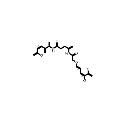 C=C(Cl)/C=C\C(=C)C(C)NC(=O)CCC(=C)NC(=O)CO/C=C/C=C(/Cl)C(=C)F